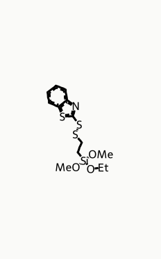 CCO[Si](CCSSc1nc2ccccc2s1)(OC)OC